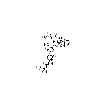 CC(C)OC(=O)[C@H](C)N[PH](O)(OC[C@H]1O[C@@H](n2ccc(NC(=O)CN(C)C)nc2=O)C(F)(F)[C@@H]1O)Oc1ccccc1